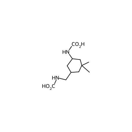 CC1(C)CC(CNC(=O)O)CC(NC(=O)O)C1